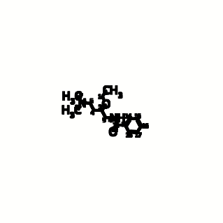 CCOC(CCN(C)C)CNC(=O)c1ccccc1